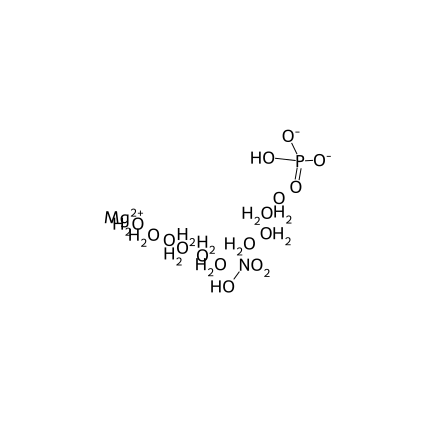 O.O.O.O.O.O.O.O.O.O.O=P([O-])([O-])O.O=[N+]([O-])O.[Mg+2]